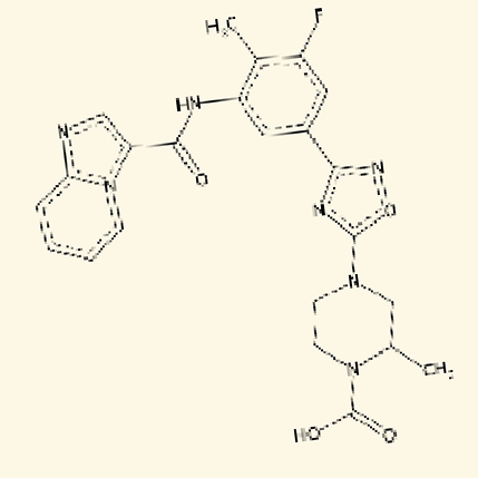 Cc1c(F)cc(-c2noc(N3CCN(C(=O)O)C(C)C3)n2)cc1NC(=O)c1cnc2ccccn12